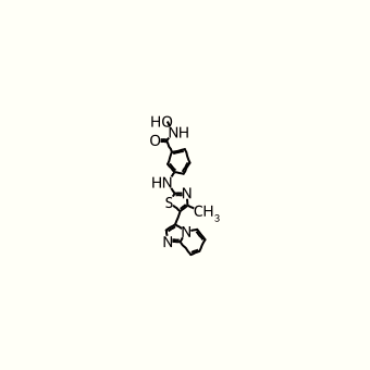 Cc1nc(Nc2cccc(C(=O)NO)c2)sc1-c1cnc2ccccn12